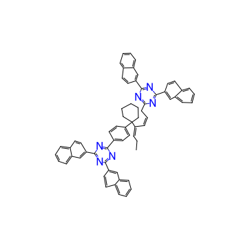 CC/C=C(\C=C/Cc1nc(-c2ccc3ccccc3c2)nc(-c2ccc3ccccc3c2)n1)C1(c2ccc(-c3nc(-c4ccc5ccccc5c4)nc(-c4ccc5ccccc5c4)n3)cc2)CCCCC1